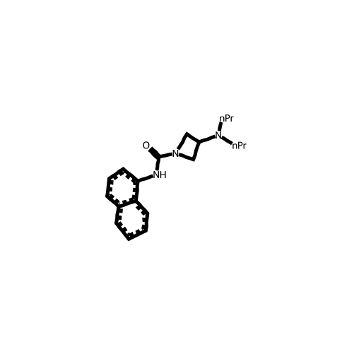 CCCN(CCC)C1CN(C(=O)Nc2cccc3ccccc23)C1